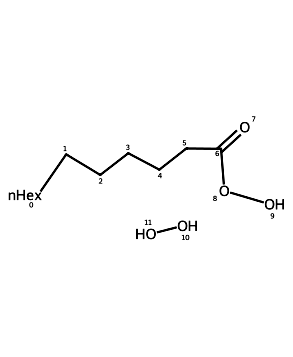 CCCCCCCCCCCC(=O)OO.OO